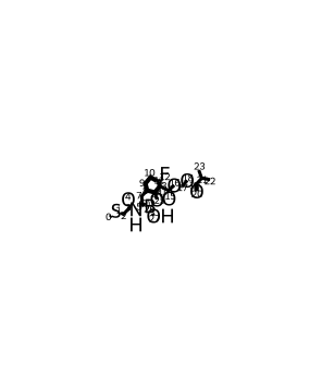 CSCC(=O)N[C@H]1Cc2ccc(F)c(C(=O)OCOC(=O)C(C)C)c2OB1O